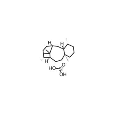 C[C@@H]1CCC[C@@]2(C)CC[C@H]3[C@H](C)CC[C@@H](C[C@H]12)C3(C)C.O=[Si](O)O